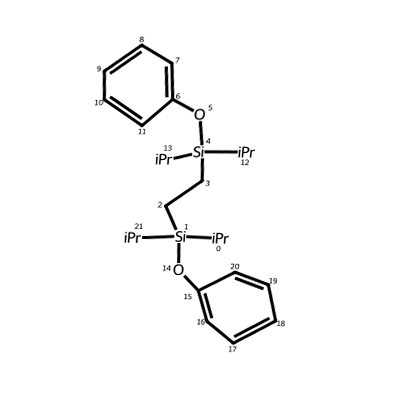 CC(C)[Si](CC[Si](Oc1ccccc1)(C(C)C)C(C)C)(Oc1ccccc1)C(C)C